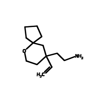 C=CC1(CCN)CCOC2(CCCC2)C1